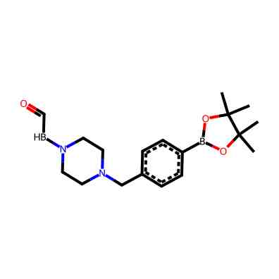 CC1(C)OB(c2ccc(CN3CCN(BC=O)CC3)cc2)OC1(C)C